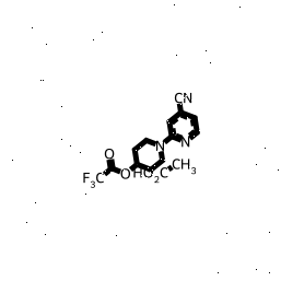 CC(=O)O.N#Cc1ccnc(N2CCC(OC(=O)C(F)(F)F)CC2)c1